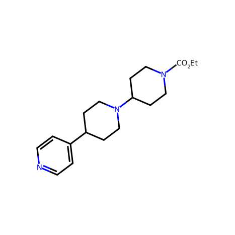 CCOC(=O)N1CCC(N2CCC(c3ccncc3)CC2)CC1